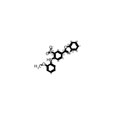 COc1ccccc1Nc1ccc(-c2nc3ccccc3o2)cc1[N+](=O)[O-]